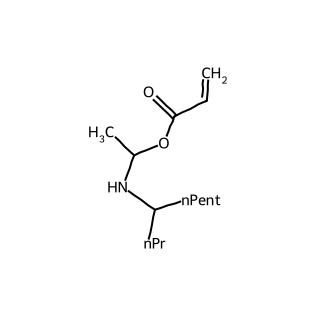 C=CC(=O)OC(C)NC(CCC)CCCCC